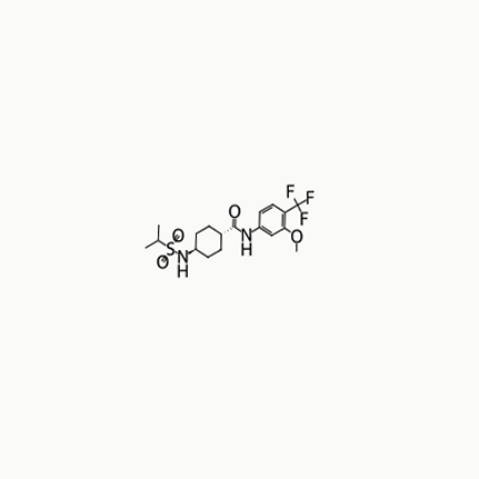 COc1cc(NC(=O)[C@H]2CC[C@H](NS(=O)(=O)C(C)C)CC2)ccc1C(F)(F)F